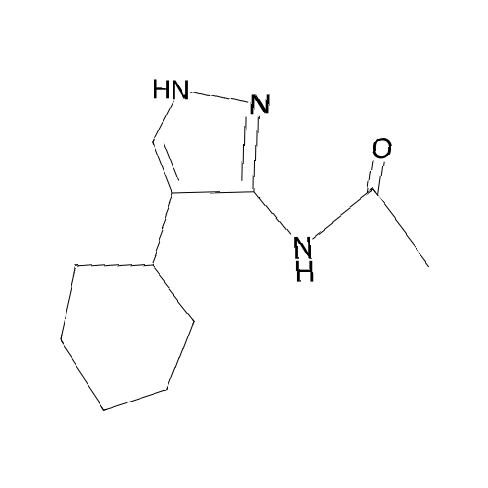 CC(=O)Nc1n[nH]cc1C1CCCCC1